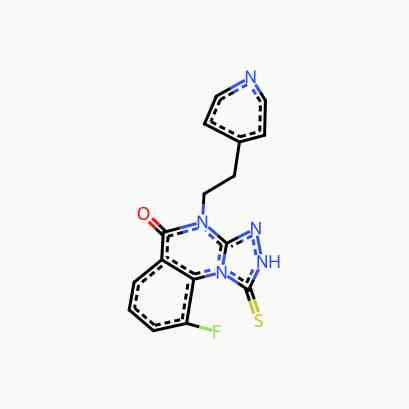 O=c1c2cccc(F)c2n2c(=S)[nH]nc2n1CCc1ccncc1